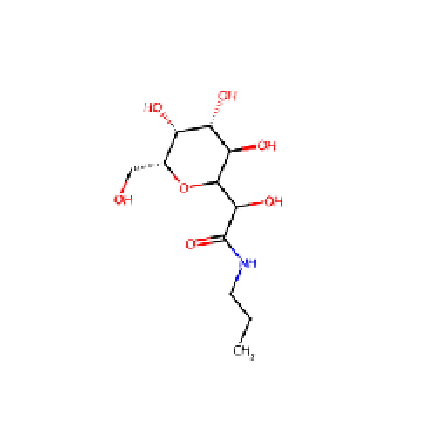 CCCNC(=O)C(O)C1O[C@H](CO)[C@H](O)[C@H](O)[C@H]1O